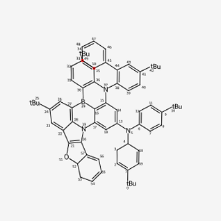 CC(C)(C)C1=CCC(N(c2ccc(C(C)(C)C)cc2)c2cc3c4c(c2)-n2c5c(c6cc(C(C)(C)C)cc(c62)B4c2ccc(C(C)(C)C)cc2N3c2ccc(C(C)(C)C)cc2C2=CC=CCC2)OC2CC=CC=C52)C=C1